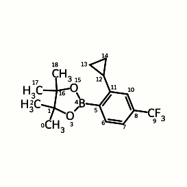 CC1(C)OB(c2ccc(C(F)(F)F)cc2C2CC2)OC1(C)C